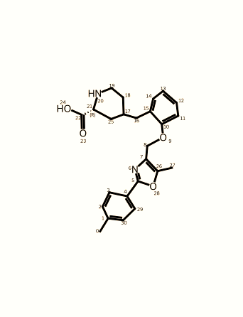 Cc1ccc(-c2nc(COc3ccccc3CC3CCN[C@@H](C(=O)O)C3)c(C)o2)cc1